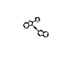 C(#Cn1c(-c2ccco2)nc2ccccc21)c1ccc2ccccc2c1